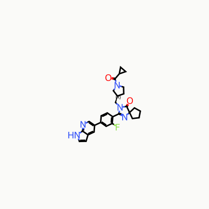 O=C(C1CC1)N1CC[C@@H](CN2C(=O)C3(CCCC3)N=C2c2ccc(-c3cnc4[nH]ccc4c3)cc2F)C1